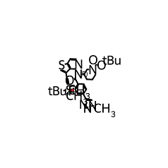 Cn1cc(-c2ccc(C(=O)N(c3nccc4scc(C#C[Si](C)(C)C(C)(C)C)c34)[C@@H]3CCCN(C(=O)OC(C)(C)C)C3)c(F)c2)nn1